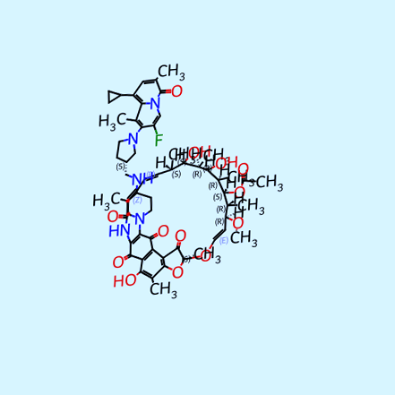 CO[C@H]1/C=C/O[C@@]2(C)Oc3c(C)c(O)c4c(c3C2=O)C(=O)C(N2CCC(NC[C@@H]3CCN(c5c(F)cn6c(=O)c(C)cc(C7CC7)c6c5C)C3)CC2)=C(NC(=O)/C(C)=C\C=C\[C@H](C)[C@H](O)[C@@H](C)[C@@H](O)[C@@H](C)[C@H](OC(C)=O)[C@@H]1C)C4=O